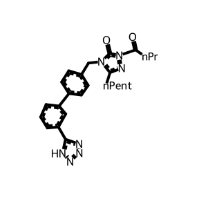 CCCCCc1nn(C(=O)CCC)c(=O)n1Cc1ccc(-c2cccc(-c3nnn[nH]3)c2)cc1